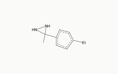 CCc1ccc(C2(C)NN2)cc1